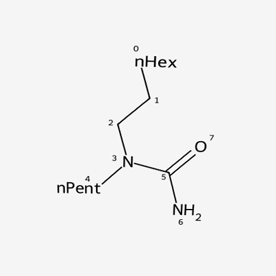 CCCCCCCCN(CCCCC)C(N)=O